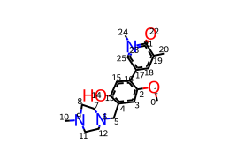 COc1cc(CN2CCN(C)CC2)c(O)cc1-c1cc(C)c(=O)n(C)c1